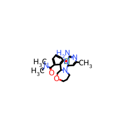 Cc1cc(N2CCCOCC2c2c(Cl)cccc2C(=O)N(C)C)nc(N)n1